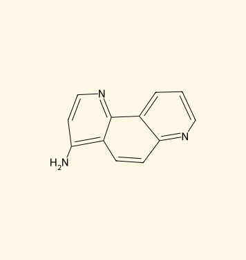 Nc1ccnc2c1ccc1ncccc12